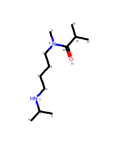 CC(C)NCCCCN(C)C(=O)C(C)C